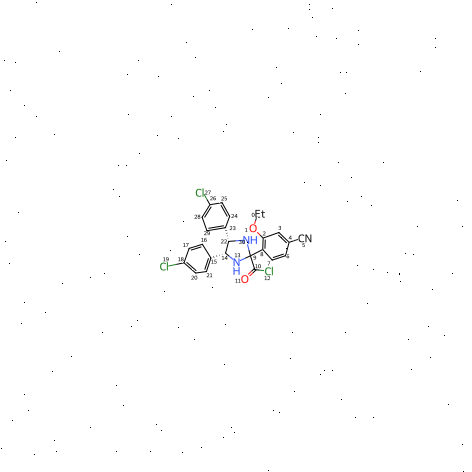 CCOc1cc(C#N)ccc1C1(C(=O)Cl)N[C@H](c2ccc(Cl)cc2)[C@H](c2ccc(Cl)cc2)N1